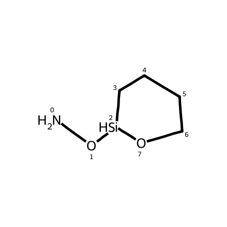 NO[SiH]1CCCCO1